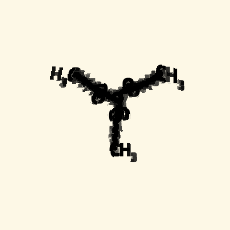 CCCCCCCCCOC(=O)CCC1CC(CCC(=O)OCCCCCCCCC)CC(CCC(=O)OCCCCCCCCC)C1